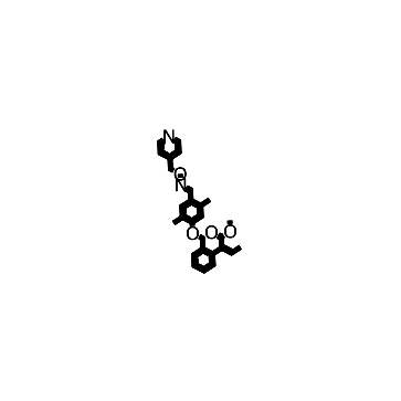 CC=C(C(=O)OC)c1ccccc1COc1cc(C)c(C=NOCc2ccncc2)cc1C